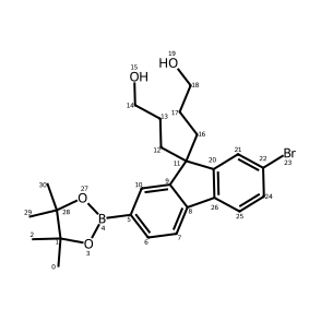 CC1(C)OB(c2ccc3c(c2)C(CCCO)(CCCO)c2cc(Br)ccc2-3)OC1(C)C